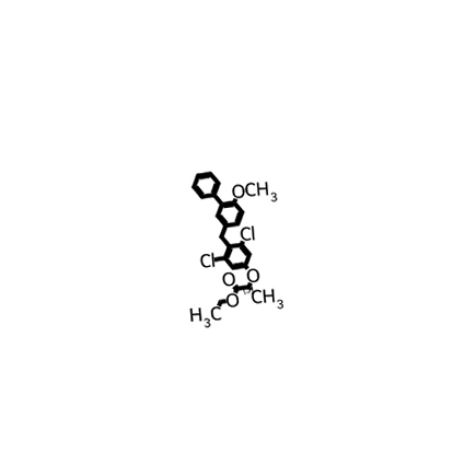 CCOC(=O)[C@H](C)Oc1cc(Cl)c(Cc2ccc(OC)c(-c3ccccc3)c2)c(Cl)c1